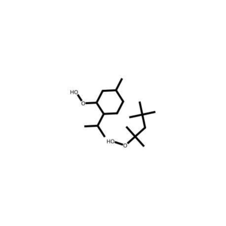 CC(C)(C)CC(C)(C)OO.CC1CCC(C(C)C)C(OO)C1